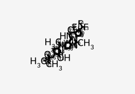 Cc1nc(N[C@H](C)c2cccc(C(F)F)c2F)c2cc(N(C)c3ccc(CC(=O)N(C)C)c(O)n3)ccc2n1